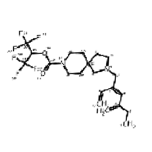 C=C/C(=C\C(=C)CC)CN1CCC2(CCN(C(=O)OC(C(F)(F)F)C(F)(F)F)CC2)C1